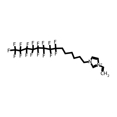 C=C[n+]1ccn(CCCCCCC(F)(F)C(F)(F)C(F)(F)C(F)(F)C(F)(F)C(F)(F)C(F)(F)C(F)(F)F)c1